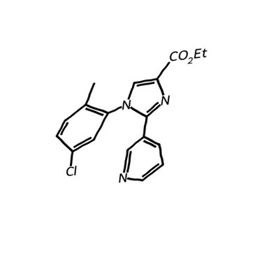 CCOC(=O)c1cn(-c2cc(Cl)ccc2C)c(-c2cccnc2)n1